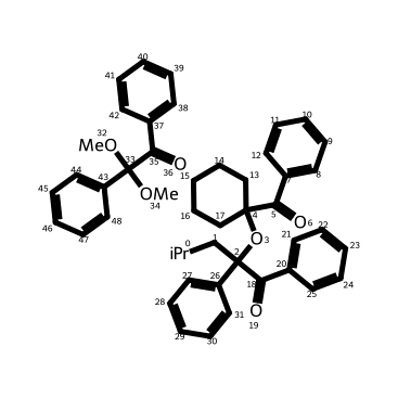 CC(C)CC(OC1(C(=O)c2ccccc2)CCCCC1)(C(=O)c1ccccc1)c1ccccc1.COC(OC)(C(=O)c1ccccc1)c1ccccc1